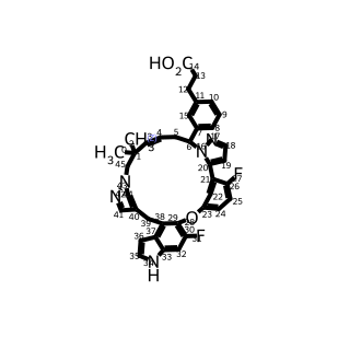 CC1(C)/C=C\CC(c2cccc(CCC(=O)O)c2)n2nccc2-c2cc(ccc2F)Oc2c(F)cc3[nH]ccc3c2Cc2cnn(c2)C1